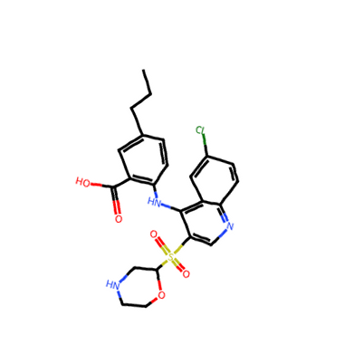 CCCc1ccc(Nc2c(S(=O)(=O)C3CNCCO3)cnc3ccc(Cl)cc23)c(C(=O)O)c1